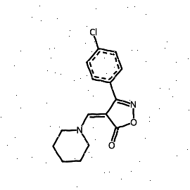 O=C1ON=C(c2ccc(Cl)cc2)C1=CN1CCCCC1